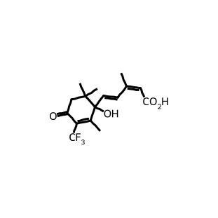 CC1=C(C(F)(F)F)C(=O)CC(C)(C)C1(O)/C=C/C(C)=C\C(=O)O